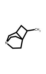 CC1CC2CN3CCC12CC3